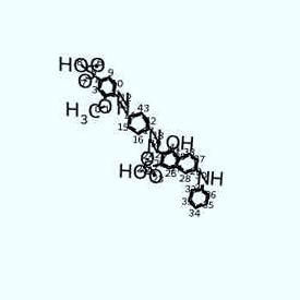 COc1cc(S(=O)(=O)O)ccc1N=Nc1ccc(N=Nc2c(S(=O)(=O)O)cc3cc(Nc4ccccc4)ccc3c2O)cc1